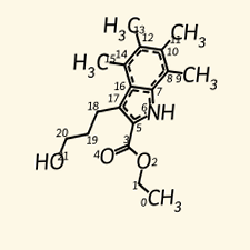 CCOC(=O)c1[nH]c2c(C)c(C)c(C)c(C)c2c1CCCO